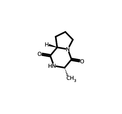 C[C@@H]1NC(=O)[C@@H]2CCCN2C1=O